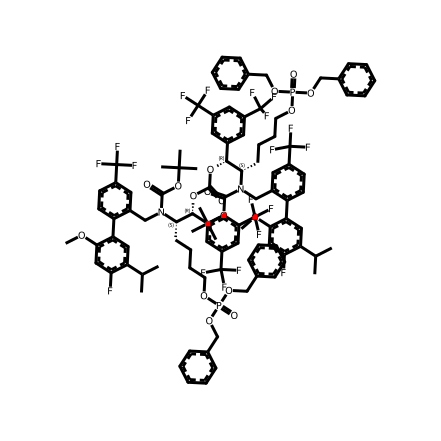 COc1cc(F)c(C(C)C)cc1-c1ccc(C(F)(F)F)cc1CN(C(=O)OC(C)(C)C)[C@@H](CCCCOP(=O)(OCc1ccccc1)OCc1ccccc1)[C@H](OC(=O)O[C@H](c1cc(C(F)(F)F)cc(C(F)(F)F)c1)[C@H](CCCCOP(=O)(OCc1ccccc1)OCc1ccccc1)N(Cc1cc(C(F)(F)F)ccc1-c1cc(C(C)C)c(F)cc1OC)C(=O)OC(C)(C)C)c1cc(C(F)(F)F)cc(C(F)(F)F)c1